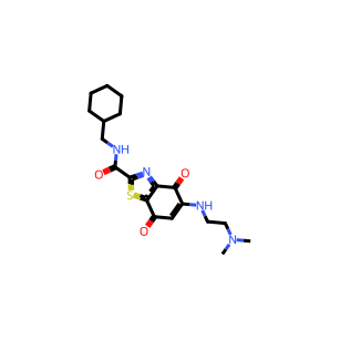 CN(C)CCNC1=CC(=O)c2sc(C(=O)NCC3CCCCC3)nc2C1=O